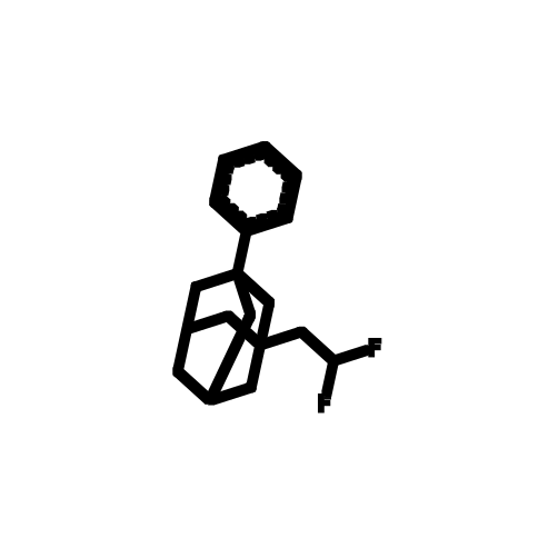 FC(F)CC12CC3CC(C1)CC(c1ccccc1)(C3)C2